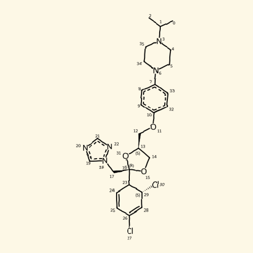 CC(C)N1CCN(c2ccc(OC[C@H]3CO[C@](Cn4cncn4)(C4C=CC(Cl)=C[C@H]4Cl)O3)cc2)CC1